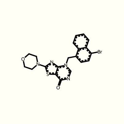 O=c1ncn(Cc2ccc(Br)c3ccccc23)c2nc(N3CCOCC3)sc12